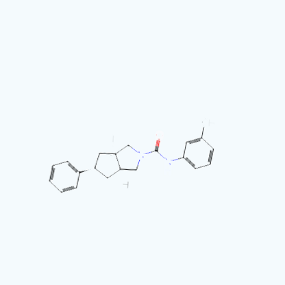 Cc1cccc(NC(=O)N2C[C@H]3C[C@@H](c4ccccc4)C[C@H]3C2)c1